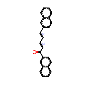 O=C(/C=C/C=C/c1ccc2ccccc2c1)c1ccc2ccccc2c1